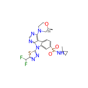 C[C@H]1CN(c2ncnc3c2c2ccc(S(=O)(=O)NC4(C)CC4)cc2n3-c2nnc(C(F)F)s2)CCO1